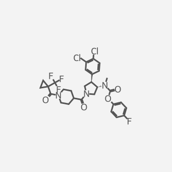 CN(C(=O)Oc1ccc(F)cc1)[C@@H]1CN(C(=O)C2CCN(C(=O)C3(C(F)(F)F)CC3)CC2)C[C@H]1c1ccc(Cl)c(Cl)c1